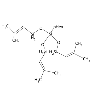 CCCCCC[Si](O[SiH2]C=C(C)C)(O[SiH2]C=C(C)C)O[SiH2]C=C(C)C